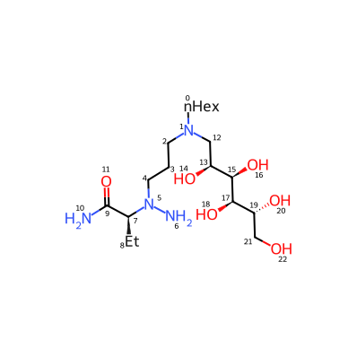 CCCCCCN(CCCN(N)[C@@H](CC)C(N)=O)C[C@H](O)[C@@H](O)[C@H](O)[C@H](O)CO